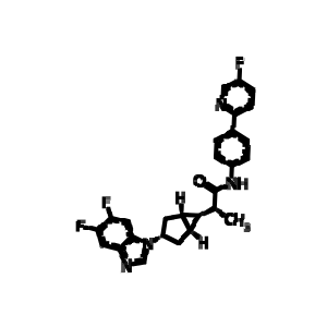 C[C@H](C(=O)Nc1ccc(-c2ccc(F)cn2)cc1)[C@H]1[C@@H]2C[C@@H](n3cnc4cc(F)c(F)cc43)C[C@@H]21